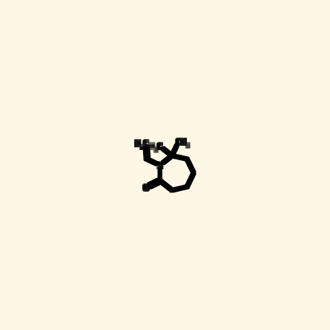 C=CN1C(=O)CCCCC1(C)C